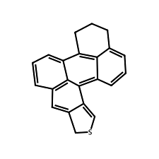 C1=c2c(cc3cccc4c5c6c(cccc6c2c34)CCC5)CS1